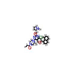 C=CC(=O)N1CCN(c2nc(OC[C@@H]3CCCN3C)nc3c2COC(c2cccc4cccc(Cl)c24)C3)[C@@H](C)C1